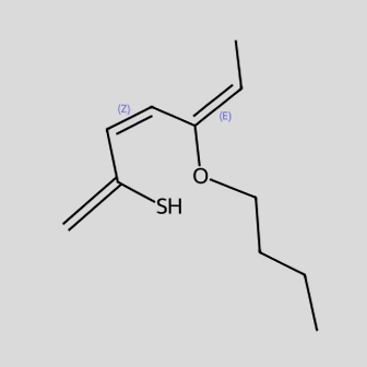 C=C(S)/C=C\C(=C/C)OCCCC